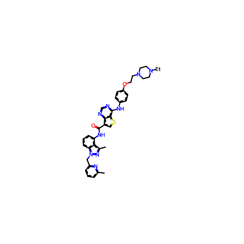 CCN1CCN(CCOc2ccc(Nc3ncnc4c(C(=O)Nc5cccc6c5c(C)nn6Cc5cccc(C)n5)csc34)cc2)CC1